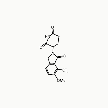 COc1ccc2c(c1C(F)(F)F)C(=O)N(C1CCC(=O)NC1=O)C2